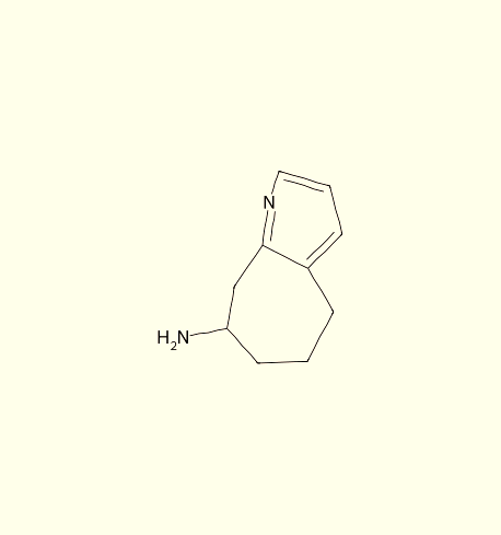 NC1CCCc2cccnc2C1